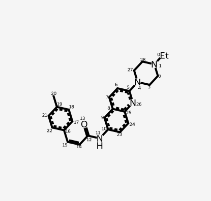 CCN1CCN(c2ccc3cc(NC(=O)/C=C\c4ccc(C)cc4)ccc3n2)CC1